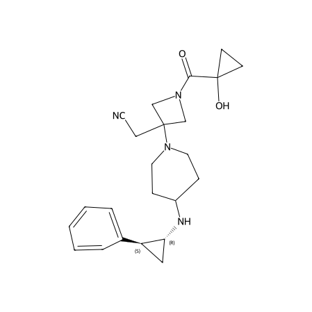 N#CCC1(N2CCC(N[C@@H]3C[C@H]3c3ccccc3)CC2)CN(C(=O)C2(O)CC2)C1